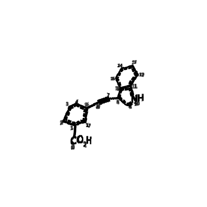 O=C(O)c1cccc(C#Cc2c[nH]c3ccccc23)c1